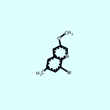 COc1cnc2c(Br)cc(C)cc2c1